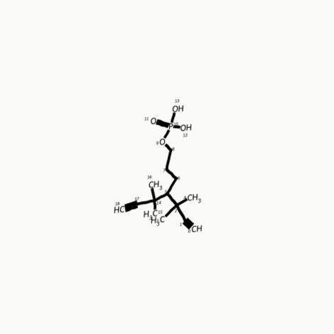 C#CC(C)(C)C(CCCOP(=O)(O)O)C(C)(C)C#C